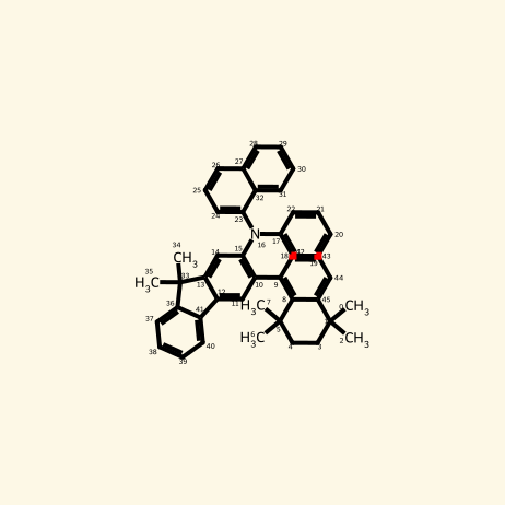 CC1(C)CCC(C)(C)c2c(-c3cc4c(cc3N(c3ccccc3)c3cccc5ccccc35)C(C)(C)c3ccccc3-4)cccc21